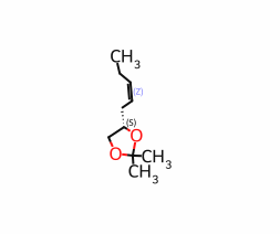 CC/C=C\C[C@H]1COC(C)(C)O1